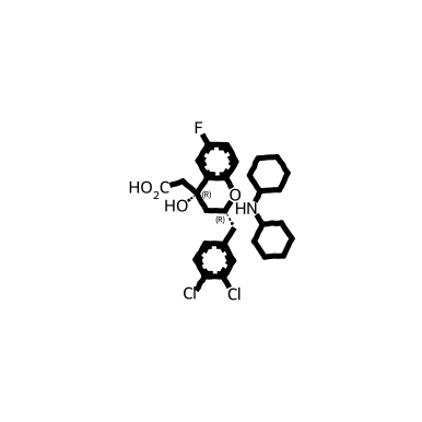 C1CCC(NC2CCCCC2)CC1.O=C(O)C[C@]1(O)C[C@@H](Cc2ccc(Cl)c(Cl)c2)Oc2ccc(F)cc21